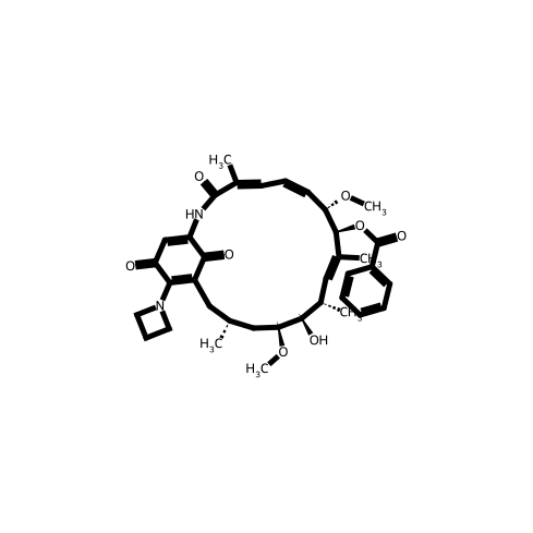 CO[C@H]1/C=C\C=C(/C)C(=O)NC2=CC(=O)C(N3CCC3)=C(C[C@@H](C)C[C@H](OC)[C@H](O)[C@@H](C)/C=C(\C)[C@@H]1OC(=O)c1ccccc1)C2=O